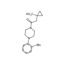 CC(C)(C)c1ccccc1N1CCN(C(=O)CC2(C(=O)O)CC2)CC1